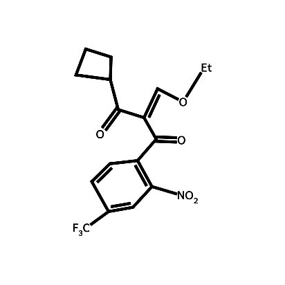 CCO/C=C(\C(=O)c1ccc(C(F)(F)F)cc1[N+](=O)[O-])C(=O)C1CCC1